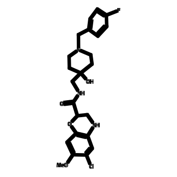 COc1cc2c(cc1Cl)NCC(C(=O)NCC1(O)CCN(Cc3ccc(F)cc3)CC1)O2